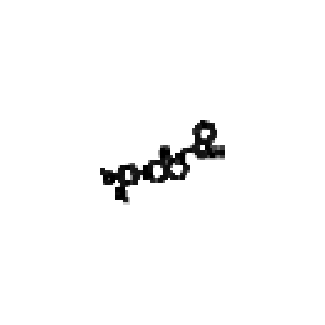 COc1ccc(N2CCC3(CCCN(Cc4c[nH]c5ccccc45)C3=O)CC2)cc1OC